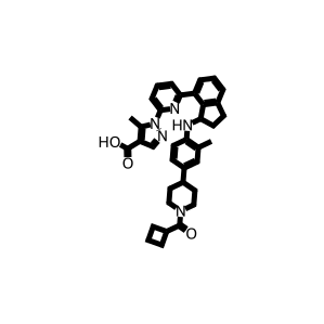 Cc1cc(C2CCN(C(=O)C3CCC3)CC2)ccc1NC1CCc2cccc(-c3cccc(-n4ncc(C(=O)O)c4C)n3)c21